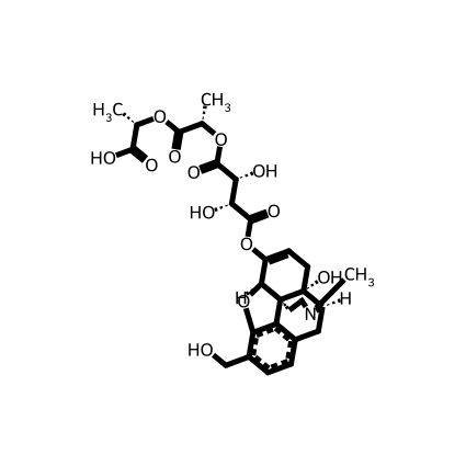 C[C@H](OC(=O)[C@H](C)OC(=O)[C@H](O)[C@@H](O)C(=O)OC1=CC[C@@]2(O)[C@H]3Cc4ccc(CO)c5c4[C@@]2(CCN3C)[C@H]1O5)C(=O)O